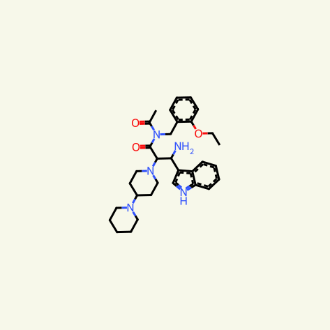 CCOc1ccccc1CN(C(C)=O)C(=O)C(C(N)c1c[nH]c2ccccc12)N1CCC(N2CCCCC2)CC1